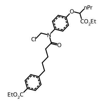 CCCC(Oc1ccc(N(CCl)C(=O)CCCCc2ccc(C(=O)OCC)cc2)cc1)C(=O)OCC